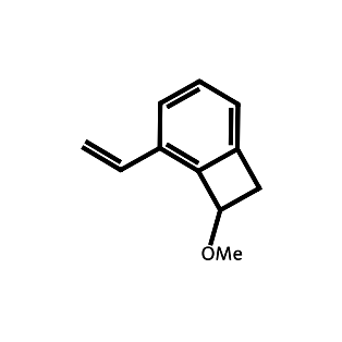 C=Cc1cccc2c1C(OC)C2